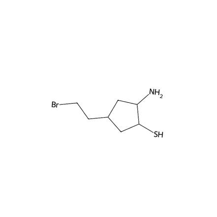 NC1CC(CCBr)CC1S